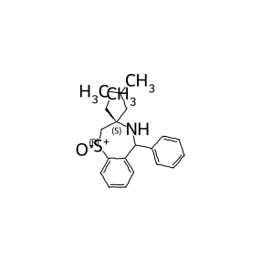 CC[C@]1(CC(C)C)C[S@+]([O-])c2ccccc2C(c2ccccc2)N1